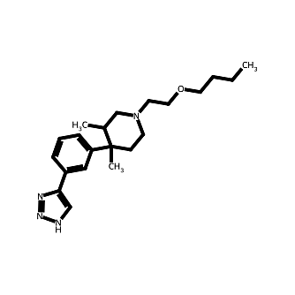 CCCCOCCN1CCC(C)(c2cccc(-c3c[nH]nn3)c2)C(C)C1